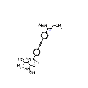 C=C/C=C(\NC)c1ccc(C#Cc2ccc(C(=P)NC(C(=O)NO)C(C)O)cc2)cc1